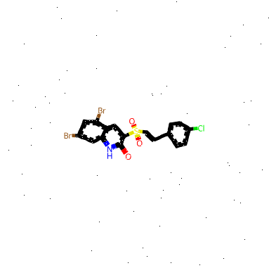 O=c1[nH]c2cc(Br)cc(Br)c2cc1S(=O)(=O)C=Cc1ccc(Cl)cc1